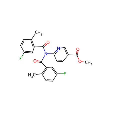 COC(=O)c1ccc(N(C(=O)c2cc(F)ccc2C)C(=O)c2cc(F)ccc2C)nc1